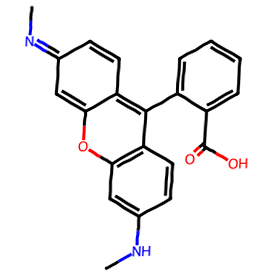 CN=c1ccc2c(-c3ccccc3C(=O)O)c3ccc(NC)cc3oc-2c1